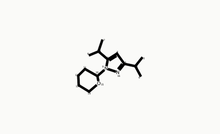 CC(C)c1cc(C(C)C)n(C2CCCCO2)n1